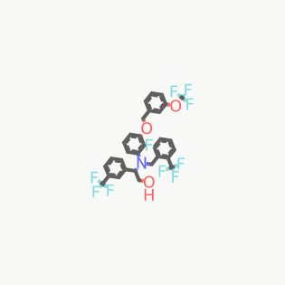 OCC(c1cccc(C(F)(F)F)c1)N(Cc1c(F)cccc1C(F)(F)F)c1cccc(OCc2cccc(OC(F)(F)F)c2)c1